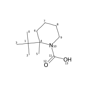 CC(C)(C)C1(C)CCCCN1C(=O)O